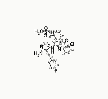 CC(Nc1ncnc(N)c1C#Cc1ccc(F)cn1)c1nc2cccc(Cl)c2c(=O)n1-c1cccc(CNS(C)(=O)=O)c1